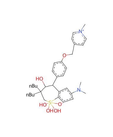 CCCCC1(CCCC)CS([O-])(O)(O)(O)c2ccc(N(C)C)cc2C(c2ccc(OCc3cc[n+](C)cc3)cc2)C1O